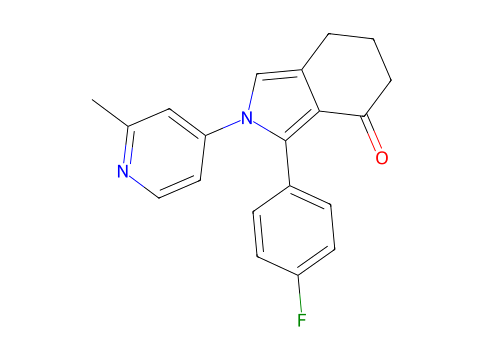 Cc1cc(-n2cc3c(c2-c2ccc(F)cc2)C(=O)CCC3)ccn1